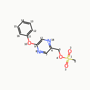 CS(=O)(=O)OCc1cnc(Oc2ccccc2)cn1